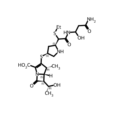 CCSC(C(=O)NC(O)CC(N)=O)[C@@H]1C[C@H](SC2=C(C(=O)O)N3C(=O)[C@H]([C@@H](C)O)[C@H]3[C@H]2C)CN1